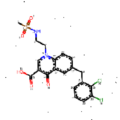 CS(=O)(=O)NCCn1cc(C(=O)O)c(=O)c2cc(Cc3cccc(Cl)c3Cl)ccc21